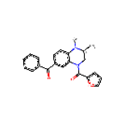 CC(=O)N1c2ccc(C(=O)c3ccccc3)cc2N(C(=O)c2ccco2)C[C@@H]1C